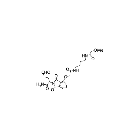 COCC(=O)NCCCCNC(=O)COc1cccc2c1C(=O)N(C(CCC=O)C(N)=O)C2=O